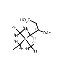 [2H]C([2H])([2H])[N+](C([2H])([2H])[2H])(C([2H])([2H])C)C([2H])([2H])[C@@H](CC(=O)O)OC(C)=O